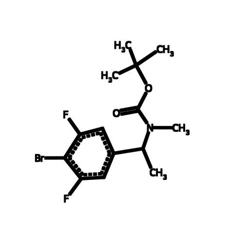 CC(c1cc(F)c(Br)c(F)c1)N(C)C(=O)OC(C)(C)C